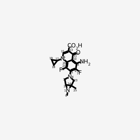 CN1C2CN(c3c(F)c(N)c4c(=O)c(C(=O)O)cn(C5CC5)c4c3F)CC21C